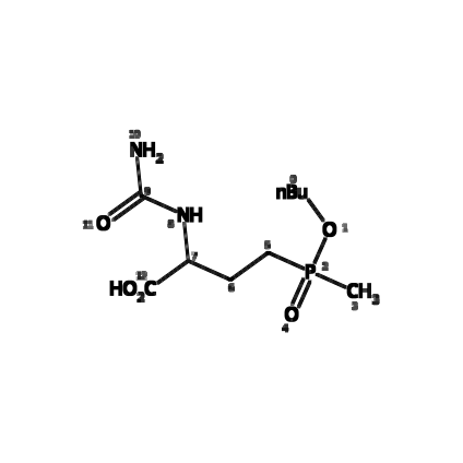 CCCCOP(C)(=O)CCC(NC(N)=O)C(=O)O